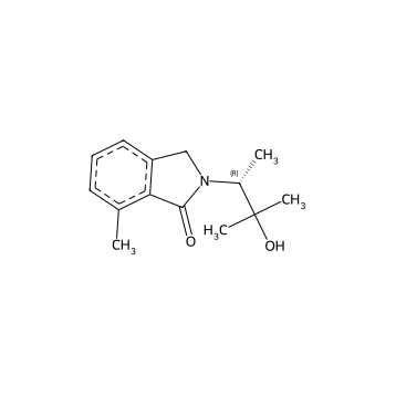 Cc1cccc2c1C(=O)N([C@H](C)C(C)(C)O)C2